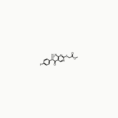 COC(=O)CSc1ncc(C(=O)Nc2ccc(F)cc2)c(N)n1